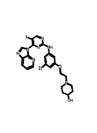 CCc1cc(Nc2ncc(F)c(-n3cnc4cccnc43)n2)cc(OCCN2CCC(O)CC2)c1